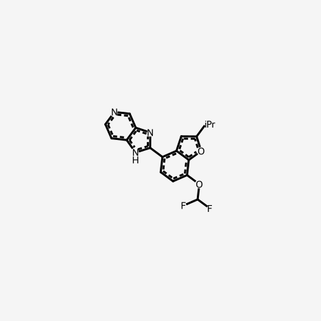 CC(C)c1cc2c(-c3nc4cnccc4[nH]3)ccc(OC(F)F)c2o1